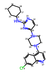 Clc1ccc2c(N3CCN(c4ccnc(NC5CCCCC5)n4)CC3)ccnc2c1